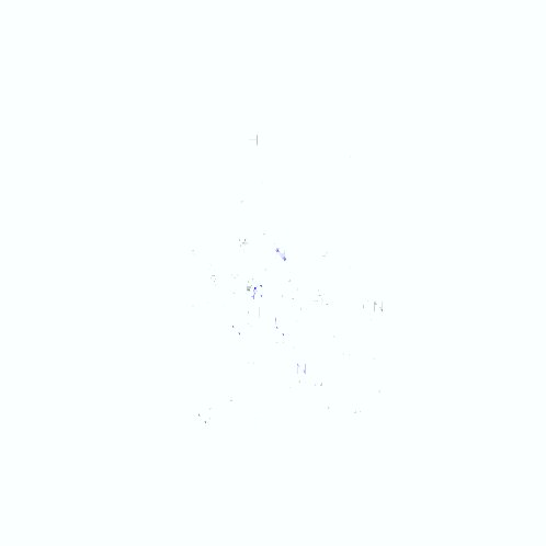 Cc1ccccc1-c1ccc2c3ccccc3n(-c3ccc(C#N)cc3-c3nc(-c4ccccc4)nc(-c4cc(C#N)ccc4-n4c5ccccc5c5ccc(-c6ccccc6C)cc54)n3)c2c1